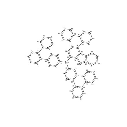 c1ccc(-c2ccccc2-c2ccc(N(c3ccc(-c4ccccc4-c4ccccc4)cc3)c3ccc(-c4ccccc4-c4ccccc4)c4c3sc3ccccc34)cc2)cc1